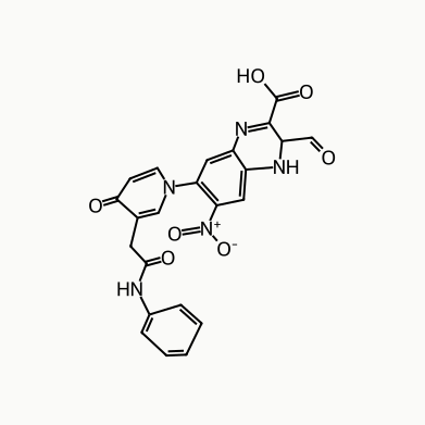 O=CC1Nc2cc([N+](=O)[O-])c(-n3ccc(=O)c(CC(=O)Nc4ccccc4)c3)cc2N=C1C(=O)O